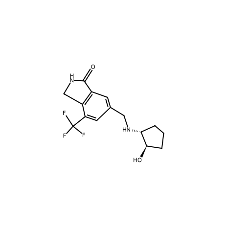 O=C1NCc2c1cc(CN[C@@H]1CCC[C@H]1O)cc2C(F)(F)F